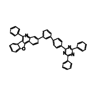 c1ccc(-c2nc(-c3ccccc3)nc(-c3ccc(-c4cccc(-c5ccc6c(c5)nc(-c5ccccc5)c5c7ccccc7oc65)c4)cc3)n2)cc1